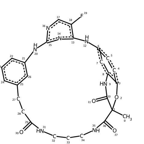 CC12Oc3ccc(cc3NC1=O)Nc1nc(ncc1F)Nc1cccc(c1)CCC(=O)NCCCNC2=O